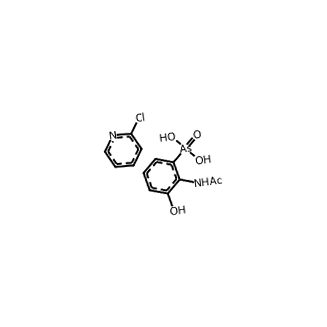 CC(=O)Nc1c(O)cccc1[As](=O)(O)O.Clc1ccccn1